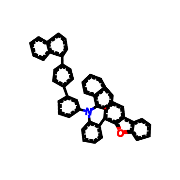 c1cc(-c2ccc(-c3cccc4ccccc34)cc2)cc(N(c2ccccc2-c2cccc3c2oc2ccccc23)c2cccc3ccccc23)c1